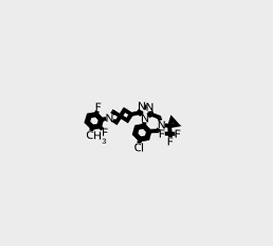 Cc1ccc(F)c(N2CC3(CC(c4nnc5n4-c4ccc(Cl)cc4CN(C4(C(F)(F)F)CC4)C5)C3)C2)c1F